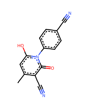 Cc1cc(O)n(-c2ccc(C#N)cc2)c(=O)c1C#N